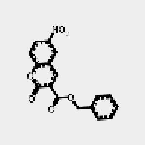 O=C(OCc1ccccc1)c1cc2cc([N+](=O)[O-])ccc2oc1=O